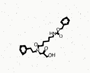 O=C(CO)CN(CCc1ccccc1)C(=O)CCCCCNC(=O)OCc1ccccc1